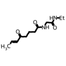 C/C=C/C(=O)CCCC(=O)NCC(=O)NCC